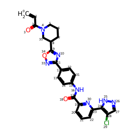 C=CC(=O)N1CCCC(c2nc(-c3ccc(NC(=O)c4cccc(-c5[nH]ncc5Cl)n4)cc3)no2)C1